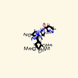 COc1cc(-c2nc3c(C#N)c[nH]n3c2N(C)C2CCN(C(=O)c3cccnc3)CC2)cc(OC)c1OC